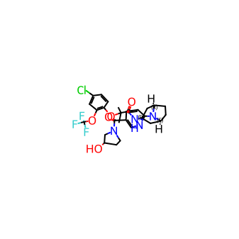 CC(C)(Oc1ccc(Cl)cc1OC(F)(F)F)C(=O)N[C@H]1C[C@H]2CC[C@@H](C1)N2c1ccc(C(=O)N2CCC(O)C2)cn1